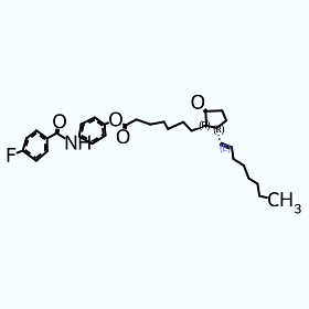 CCCCCC/C=C/[C@H]1CCC(=O)[C@@H]1CCCCCCC(=O)Oc1ccc(NC(=O)c2ccc(F)cc2)cc1